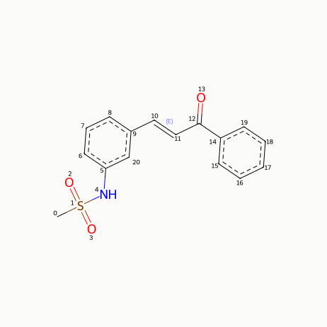 CS(=O)(=O)Nc1cccc(/C=C/C(=O)c2ccccc2)c1